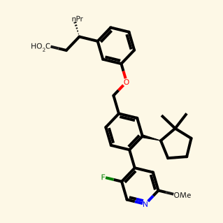 CCC[C@@H](CC(=O)O)c1cccc(OCc2ccc(-c3cc(OC)ncc3F)c([C@@H]3CCCC3(C)C)c2)c1